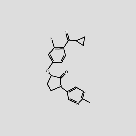 Cc1ncc(N2CC[C@@H](Oc3ccc(C(=O)C4CC4)c(F)c3)C2=O)cn1